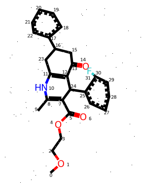 COCCOC(=O)C1=C(C)NC2=C(C(=O)CC(c3ccccc3)C2)C1c1ccccc1F